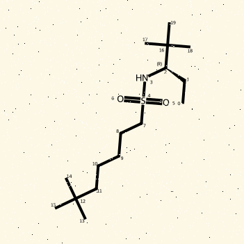 CC[C@@H](NS(=O)(=O)CCCCCC(C)(C)C)C(C)(C)C